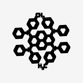 Cc1ccc(N(C2=CC(N(c3ccccc3)c3ccccc3)c3ccc4c(N(c5ccccc5)c5ccc(C)cc5)cc(N(c5ccccc5)c5ccccc5)c5c4c3C2=CC5)c2ccccc2)cc1